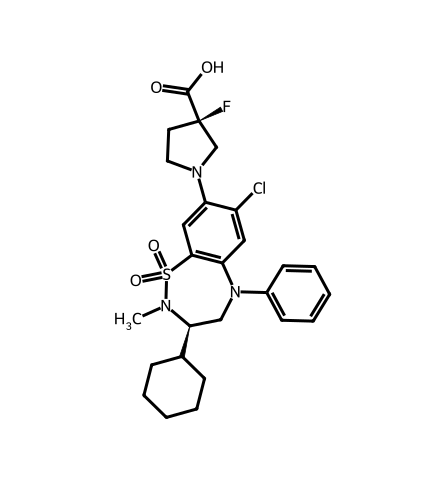 CN1[C@H](C2CCCCC2)CN(c2ccccc2)c2cc(Cl)c(N3CC[C@](F)(C(=O)O)C3)cc2S1(=O)=O